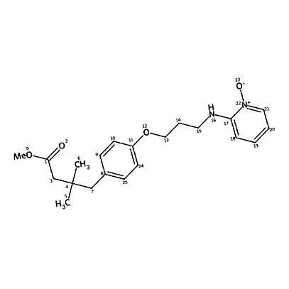 COC(=O)CC(C)(C)Cc1ccc(OCCCNc2cccc[n+]2[O-])cc1